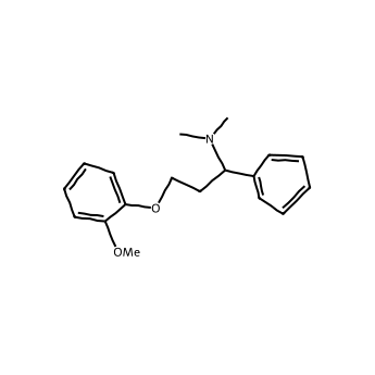 COc1ccccc1OCCC(c1ccccc1)N(C)C